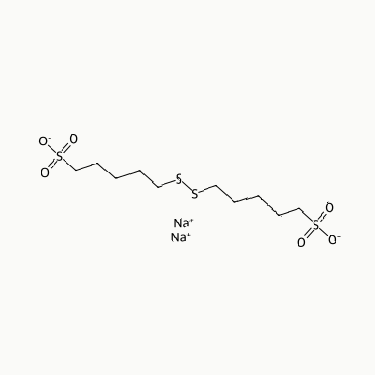 O=S(=O)([O-])CCCCCSSCCCCCS(=O)(=O)[O-].[Na+].[Na+]